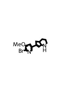 COc1cc(C2=CC3NCCCC3C2)cnc1Br